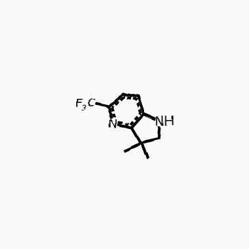 CC1(C)CNc2ccc(C(F)(F)F)nc21